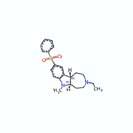 CCN1CC[C@H]2c3cc(S(=O)(=O)c4ccccc4)ccc3N(C)[C@H]2CC1